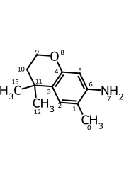 Cc1cc2c(cc1N)OCCC2(C)C